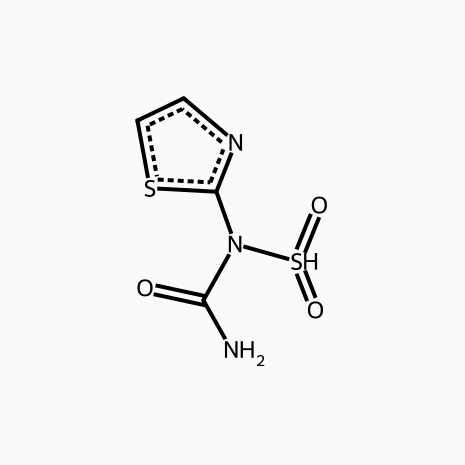 NC(=O)N(c1nccs1)[SH](=O)=O